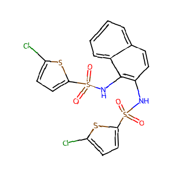 O=S(=O)(Nc1ccc2ccccc2c1NS(=O)(=O)c1ccc(Cl)s1)c1ccc(Cl)s1